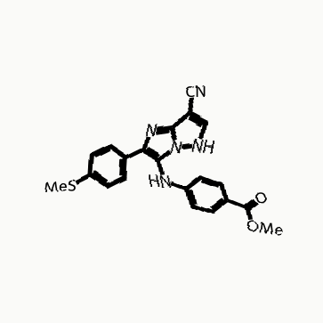 COC(=O)c1ccc(Nc2c(-c3ccc(SC)cc3)nc3c(C#N)c[nH]n23)cc1